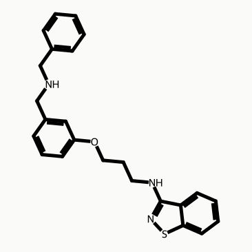 c1ccc(CNCc2cccc(OCCCNc3nsc4ccccc34)c2)cc1